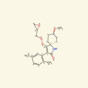 CO[C@H]1CC[C@]2(CC1)NC(=O)C(c1cc(C)ccc1C)=C2OOCC1CO1